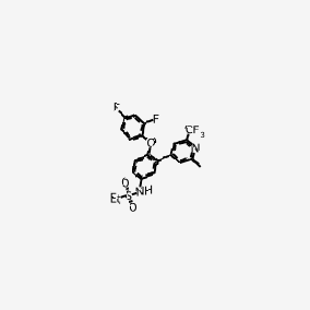 CCS(=O)(=O)Nc1ccc(Oc2ccc(F)cc2F)c(-c2cc(C)nc(C(F)(F)F)c2)c1